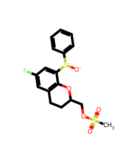 CS(=O)(=O)OCC1CCc2cc(F)cc([S+]([O-])c3ccccc3)c2O1